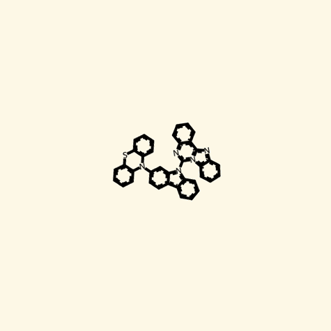 c1ccc2c(c1)Sc1ccccc1N2c1ccc2c3ccccc3n(-c3nc4ccccc4c4nc5ccccc5n34)c2c1